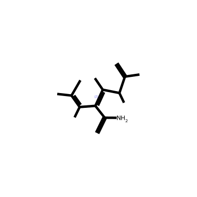 C=C(N)/C(C(C)=C(C)C)=C(/C)C(C)C(=C)C